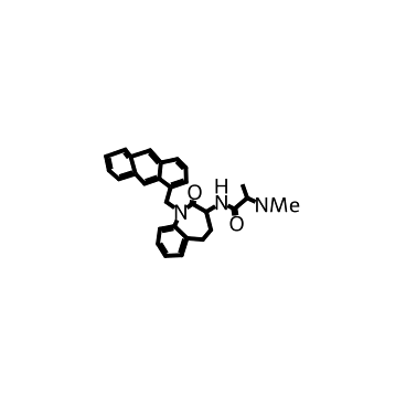 CNC(C)C(=O)NC1CCc2ccccc2N(Cc2cccc3cc4ccccc4cc23)C1=O